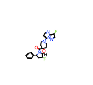 O=C1N2[C@H](OC13CCN(c1ccnc4c(F)cnn14)CC3)[C@@H](F)C[C@H]2c1ccccc1